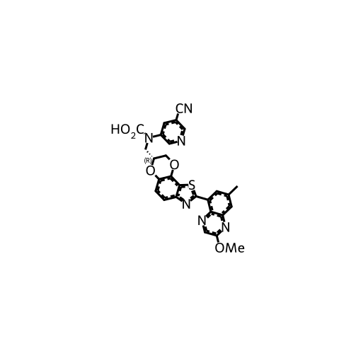 COc1cnc2c(-c3nc4ccc5c(c4s3)OC[C@@H](CN(C(=O)O)c3cncc(C#N)c3)O5)cc(C)cc2n1